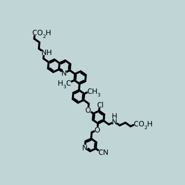 Cc1c(COc2cc(OCc3cncc(C#N)c3)c(CNCCCC(=O)O)cc2Cl)cccc1-c1cccc(-c2ccc3cc(CNCCCC(=O)O)ccc3n2)c1C